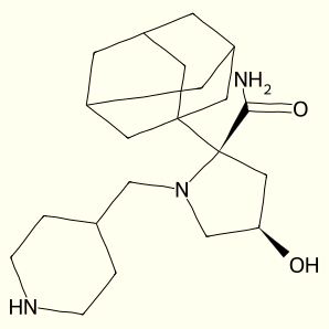 NC(=O)[C@@]1(C23CC4CC(CC(C4)C2)C3)C[C@@H](O)CN1CC1CCNCC1